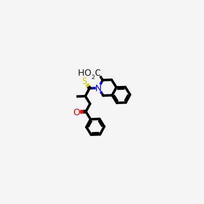 CC(CC(=O)c1ccccc1)C(=S)N1Cc2ccccc2CC1C(=O)O